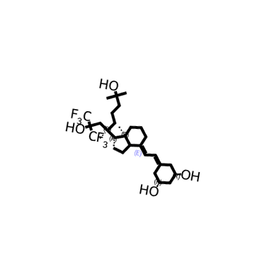 CC(C)(O)CCC[C@](C)(CC(O)(C(F)(F)F)C(F)(F)F)[C@H]1CCC2/C(=C/C=C3C[C@@H](O)C[C@H](O)C3)CCC[C@@]21C